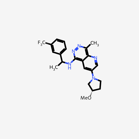 CO[C@H]1CCN(c2cnc3c(C)nnc(NC(C)c4cccc(C(F)(F)F)c4)c3c2)C1